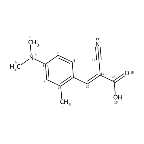 Cc1cc(N(C)C)ccc1/C=C(\C#N)C(=O)O